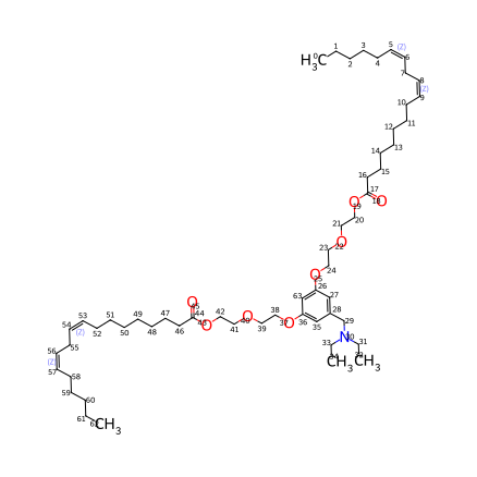 CCCCC/C=C\C/C=C\CCCCCCCC(=O)OCCOCCOc1cc(CN(CC)CC)cc(OCCOCCOC(=O)CCCCCCC/C=C\C/C=C\CCCCC)c1